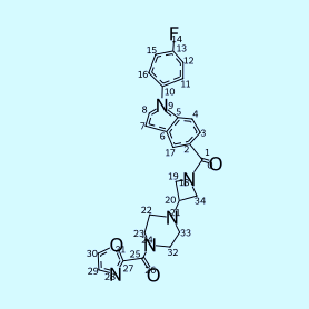 O=C(c1ccc2c(ccn2-c2ccc(F)cc2)c1)N1CC(N2CCN(C(=O)c3ncco3)CC2)C1